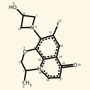 CC1COc2c(N3CC(O)C3)c(F)cc3c(=O)ccn1c23